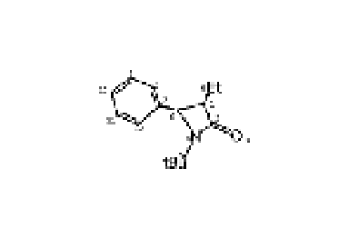 CC[C@H]1C(=O)N(C(C)(C)C)[C@H]1c1ccccc1